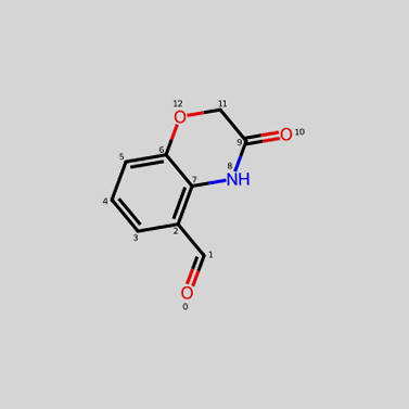 O=Cc1cccc2c1NC(=O)CO2